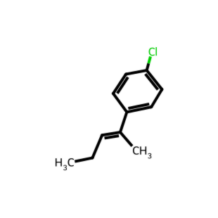 CC/C=C(\C)c1ccc(Cl)cc1